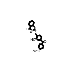 COc1ccc(C(=O)c2ccc(CSc3nc4ccccc4c(=O)n3C)c(O)c2)cc1